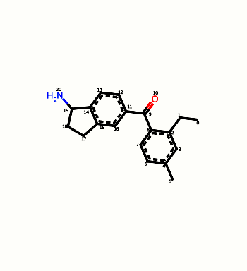 CCc1cc(C)ccc1C(=O)c1ccc2c(c1)CCC2N